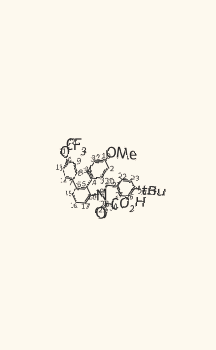 COc1ccc(-c2c(-c3ccc(OC(F)(F)F)cc3)cccc2N(Cc2ccc(C(C)(C)C)cc2)C(=O)C(=O)O)cc1